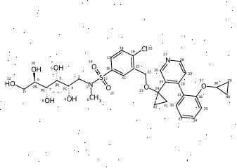 CN(C[C@H](O)[C@@H](O)[C@H](O)[C@H](O)CO)S(=O)(=O)c1ccc(Cl)c(COC2(c3cnccc3-c3ccccc3OC3CC3)CC2)c1